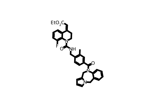 CCOC(=O)/C=C1/CCN(C(=O)NCc2ccc(C(=O)N3Cc4cccn4Cc4ccccc43)cc2C)c2c(F)cccc21